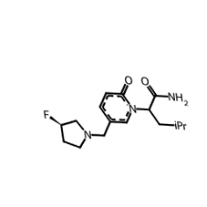 CC(C)CC(C(N)=O)n1cc(CN2CC[C@@H](F)C2)ccc1=O